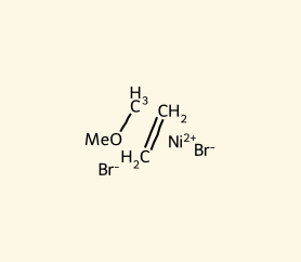 C=C.COC.[Br-].[Br-].[Ni+2]